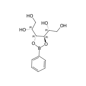 OC[C@@H](O)[C@H]1OB(c2ccccc2)O[C@@H]1[C@H](O)CO